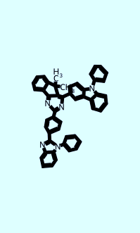 CC1(C)c2ccccc2-c2nc(-c3ccc(-c4nc5ccccc5n4-c4ccccc4)cc3)nc(-c3ccc4c(c3)c3ccccc3n4-c3ccccc3)c21